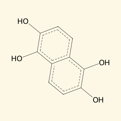 Oc1ccc2c(O)c(O)ccc2c1O